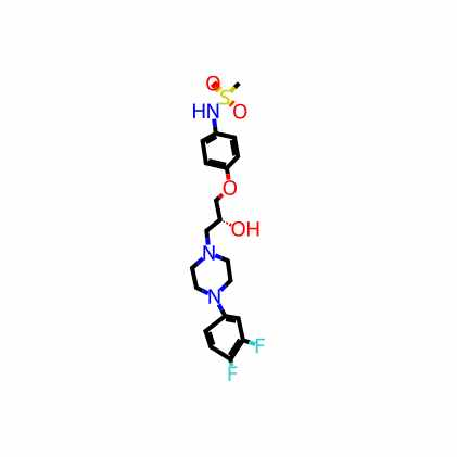 CS(=O)(=O)Nc1ccc(OC[C@H](O)CN2CCN(c3ccc(F)c(F)c3)CC2)cc1